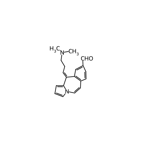 CN(C)CCC=C1c2cc(C=O)ccc2C=Cn2cccc21